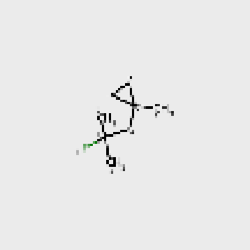 CC(C)(F)CC1(C)CC1